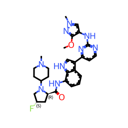 COc1nn(C)cc1Nc1nccc(-c2c[nH]c3c(NC(=O)[C@H]4C[C@H](F)CN4C4CCN(C)CC4)cccc23)n1